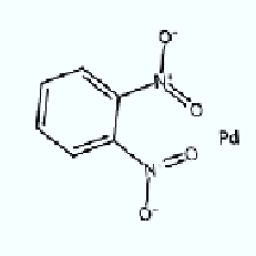 O=[N+]([O-])c1ccccc1[N+](=O)[O-].[Pd]